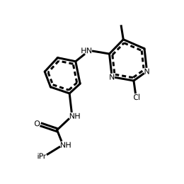 Cc1cnc(Cl)nc1Nc1cccc(NC(=O)NC(C)C)c1